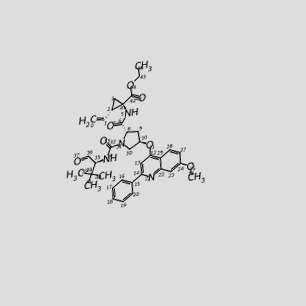 C=C[C@@H]1C[C@]1(NC(=O)[C@@H]1C[C@@H](Oc2cc(-c3ccccc3)nc3cc(OC)ccc23)CN1C(=O)N[C@H](C=O)C(C)(C)C)C(=O)OCC